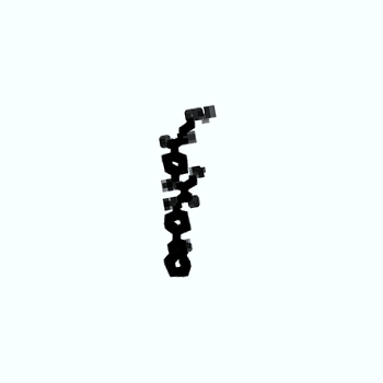 CC(C)CC(Nc1ccc(C(=O)NCCC(=O)O)cc1)C(=O)Nc1ccc(-c2cc3ccccc3s2)cc1